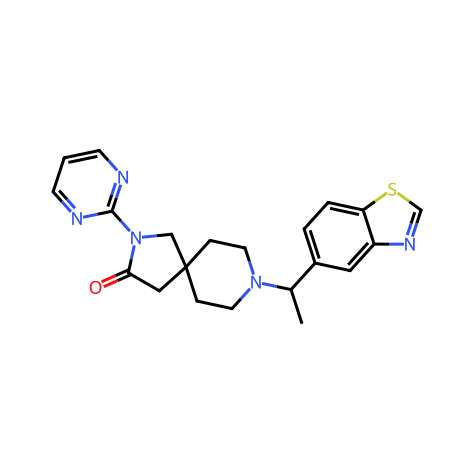 CC(c1ccc2scnc2c1)N1CCC2(CC1)CC(=O)N(c1ncccn1)C2